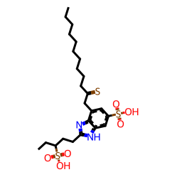 CCCCCCCCCCC(=S)Cc1cc(S(=O)(=O)O)cc2[nH]c(CCC(CC)S(=O)(=O)O)nc12